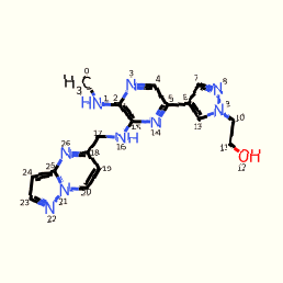 CNc1ncc(-c2cnn(CCO)c2)nc1NCc1ccn2nccc2n1